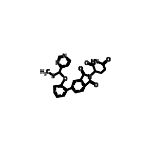 CSC(Oc1ccccc1-c1ccc2c(c1)C(=O)N(C1CCC(=O)NC1=O)C2=O)c1ccncn1